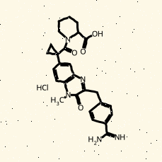 Cl.Cn1c(=O)c(Cc2ccc(C(=N)N)cc2)nc2cc(C3(C(=O)N4CCCCC4C(=O)O)CC3)ccc21